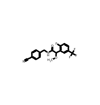 COC(C(=O)NCc1ccc(C#N)cc1)c1cc(C(F)(F)F)ccc1F